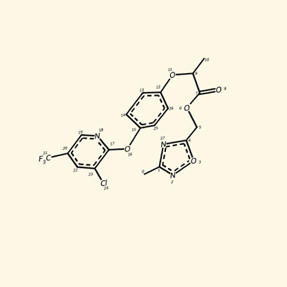 Cc1noc(COC(=O)C(C)Oc2ccc(Oc3ncc(C(F)(F)F)cc3Cl)cc2)n1